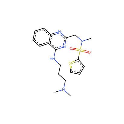 CN(C)CCCNc1nc(CN(C)S(=O)(=O)c2cccs2)nc2ccccc12